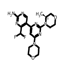 C[C@H]1COCCN1c1nc(-c2cnc(N)nc2C(F)F)cc(N2CCOCC2)n1